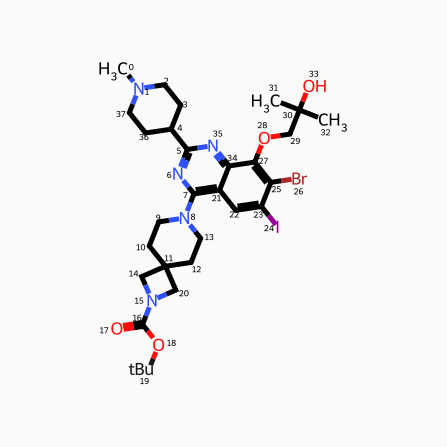 CN1CCC(c2nc(N3CCC4(CC3)CN(C(=O)OC(C)(C)C)C4)c3cc(I)c(Br)c(OCC(C)(C)O)c3n2)CC1